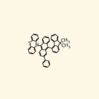 CC1(C)c2ccccc2-c2c(-c3c4ccccc4c(N4c5ccccc5Sc5ccccc54)c4ccc(-c5ccccc5)cc34)cccc21